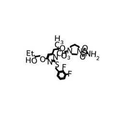 CC[C@H](O)COc1cc(CC(C)(C)OC(=O)N2CCCN(S(N)(=O)=O)CC2)nc(SCc2cccc(F)c2F)n1